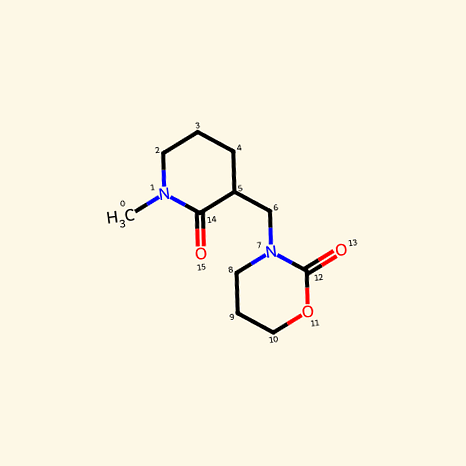 CN1CCCC(CN2CCCOC2=O)C1=O